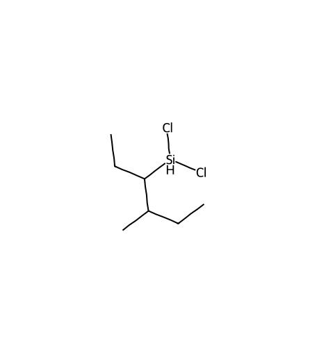 CCC(C)C(CC)[SiH](Cl)Cl